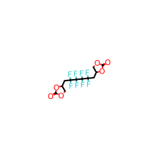 O=C1OCC(CC(F)(F)C(F)(F)C(F)(F)C(F)(F)CC2COC(=O)O2)O1